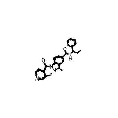 CCC(NC(=O)c1ccc2c(c1)c(C)nn2C(=O)c1ccncc1F)c1ccccc1